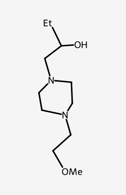 CCC(O)CN1CCN(CCOC)CC1